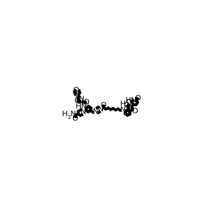 NC(=O)C1CCN(c2cc(CN3CCN(C(=O)CCCCCCCNc4cccc5c4C(=O)N(C4CCC(=O)NC4=O)C5=O)CC3)ccc2NC(=O)c2coc(N3CCOCC3)n2)CC1